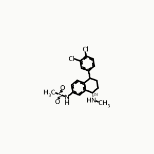 CN[C@H]1CCC(c2ccc(Cl)c(Cl)c2)c2ccc(NS(C)(=O)=O)cc21